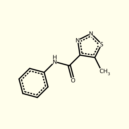 Cc1snnc1C(=O)Nc1ccccc1